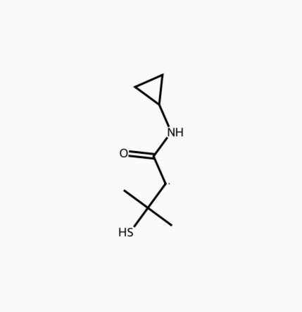 CC(C)(S)[CH]C(=O)NC1CC1